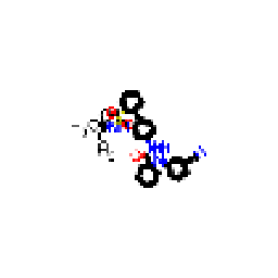 CC(C)(C)NS(=O)(=O)c1ccccc1-c1ccc(NC(=O)C2(Nc3cccc(C#N)c3)CCCCC2)cc1